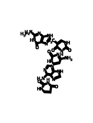 Cc1c[nH]c(=O)[nH]c1=O.Nc1cc[nH]c(=O)n1.Nc1nc2[nH]cnc2c(=O)[nH]1.Nc1ncnc2[nH]cnc12.O=c1cc[nH]c(=O)[nH]1.P